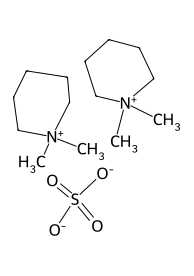 C[N+]1(C)CCCCC1.C[N+]1(C)CCCCC1.O=S(=O)([O-])[O-]